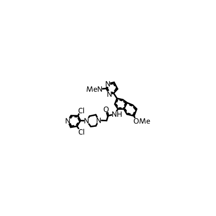 CNc1nccc(-c2cc(NC(=O)CN3CCN(c4c(Cl)cncc4Cl)CC3)c3cc(OC)ccc3c2)n1